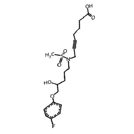 CS(=O)(=O)N(CC#CCCCC(=O)O)CCCC(O)COc1ccc(F)cc1